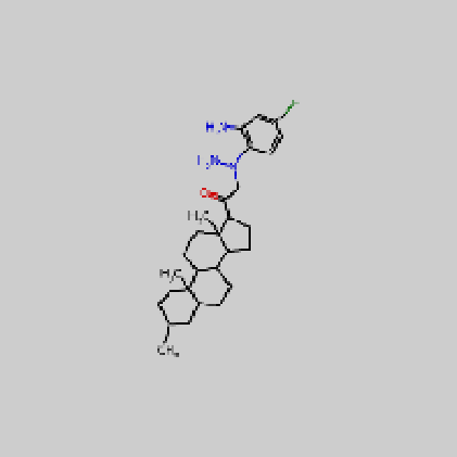 CC1CCC2(C)C(CCC3C2CCC2(C)C(C(=O)CN(N)c4ccc(F)cc4N)CCC32)C1